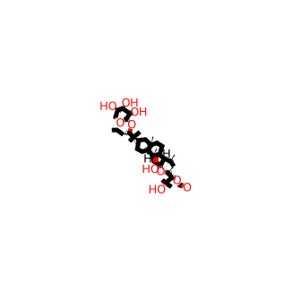 CCC[C@H](O[C@@H]1OC[C@@H](O)[C@H](O)[C@H]1O)C(C)(C)[C@@H]1CC[C@@H]2[C@](C)(CC[C@]3(C)[C@H]4[C@H](C)C[C@H]([C@H](OC=O)C(C)(C)O)O[C@@]4(O)C[C@@]23C)C1